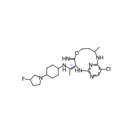 C/C(NC1CCC(N2CCC(F)C2)CC1)=C1\Nc2ncc(Cl)c(n2)NC(C)CCOC1=N